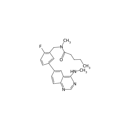 CCCCC(=O)N(C)Cc1cc(-c2ccc3ncnc(NC)c3c2)ccc1F